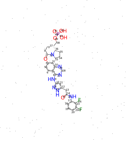 CCC(Oc1ccc2c(Nc3cc(CC(=O)Nc4cccc(F)c4F)[nH]n3)ncnc2c1)N1CCC[C@H]1CCOP(=O)(O)O